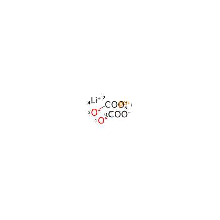 O=C([O-])[O-].O=C([O-])[O-].[Li+].[P+3]